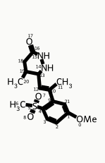 COc1ccc(S(C)(=O)=O)c(/C(C)=C/C2NNC(=O)CC2C)c1